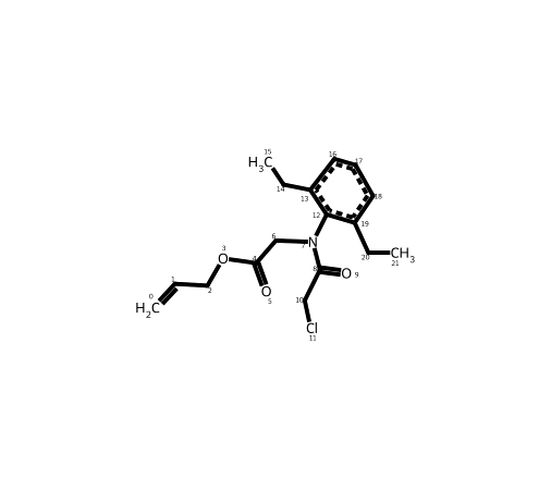 C=CCOC(=O)CN(C(=O)CCl)c1c(CC)cccc1CC